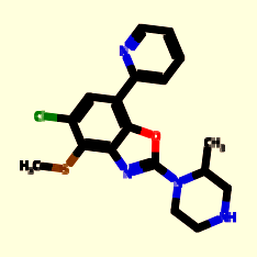 CSc1c(Cl)cc(-c2ccccn2)c2oc(N3CCNCC3C)nc12